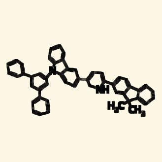 CC1(C)c2ccccc2-c2ccc(C3=CC=C(c4ccc5c(c4)c4ccccc4n5-c4cc(-c5ccccc5)cc(-c5ccccc5)c4)CN3)cc21